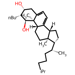 CCCC[C@@H]1[C@H](O)CC2=CC=C3[C@@H]4CC[C@H]([C@H](C)CCCC(C)C)[C@@]4(C)CC[C@@H]3[C@@]2(C)[C@H]1O